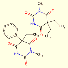 CCC1(CC)C(=O)NC(=O)N(C)C1=O.CCC1(c2ccccc2)C(=O)NC(=O)N(C)C1=O